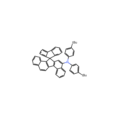 CC(C)(C)c1ccc(N(c2ccc(C(C)(C)C)cc2)c2cc3c(c4ccccc24)-c2ccc4ccccc4c2C32c3ccccc3-c3ccccc32)cc1